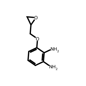 Nc1cccc(OCC2CO2)c1N